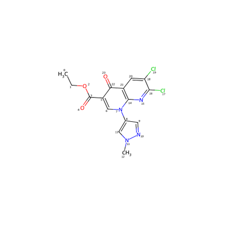 CCOC(=O)c1cn(-c2cnn(C)c2)c2nc(Cl)c(Cl)cc2c1=O